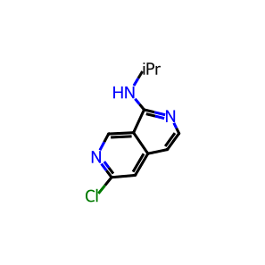 CC(C)Nc1nccc2cc(Cl)ncc12